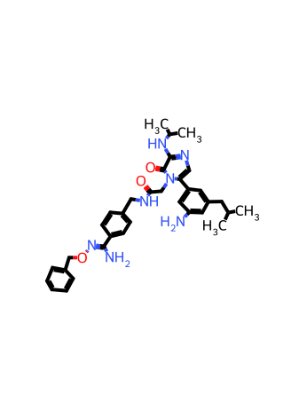 CC(C)Cc1cc(N)cc(-c2cnc(NC(C)C)c(=O)n2CC(=O)NCc2ccc(/C(N)=N/OCc3ccccc3)cc2)c1